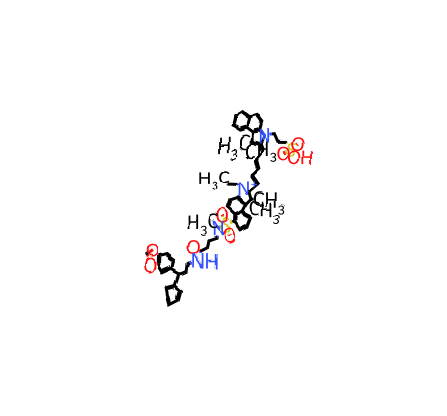 CCC[N+]1=C(/C=C/C=C/C=C2/N(CCCS(=O)(=O)O)c3ccc4ccccc4c3C2(C)C)C(C)(C)c2c1ccc1c(S(=O)(=O)N(C)CCCC(=O)NCCC(c3ccccc3)c3ccc4c(c3)OCO4)cccc21